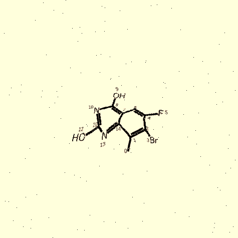 Cc1c(Br)c(F)cc2c(O)nc(O)nc12